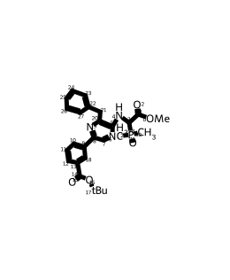 COC(=O)C(Nc1ncc(-c2cccc(C(=O)OC(C)(C)C)c2)nc1Cc1ccccc1)P(C)(C)=O